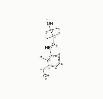 Cc1c(BOC(C)(C)C(C)(C)O)cccc1CO